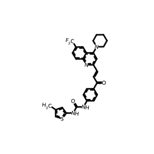 Cc1csc(NC(=O)Nc2ccc(C(=O)/C=C/c3cc(N4CCCCC4)c4cc(C(F)(F)F)ccc4n3)cc2)c1